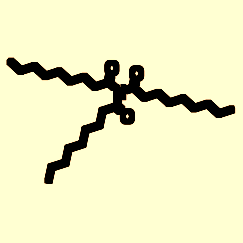 CCCCCCCCC(=O)N(C(=O)CCCCCCCC)C(=O)CCCCCCCC